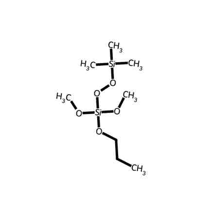 CCCO[Si](OC)(OC)OO[Si](C)(C)C